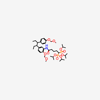 CCC(c1ccc(OCOC)cc1)C(CC)c1ccc(OCOC)c(NC(=O)CCCC(P(=O)(OC(C)C)OC(C)C)P(=O)(OC(C)C)OC(C)C)c1